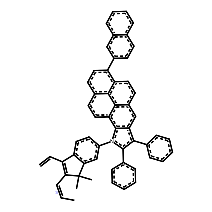 C=CC1=C(/C=C\C)C(C)(C)c2cc(-n3c(-c4ccccc4)c(-c4ccccc4)c4cc5ccc6c(-c7ccc8ccccc8c7)ccc7ccc(c5c76)c43)ccc21